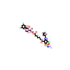 C[C@@H]1CO[C@@](O)(c2cc(F)cc(F)c2)[C@H](C)N1C(=O)OCOC(=O)CCCCCOC(=O)c1cc(S(N)(=O)=O)c(Cl)cc1NCc1ccco1